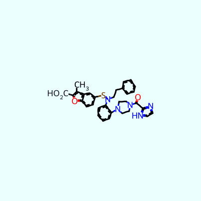 Cc1c(C(=O)O)oc2ccc(SN(CCc3ccccc3)c3ccccc3N3CCN(C(=O)c4ncc[nH]4)CC3)cc12